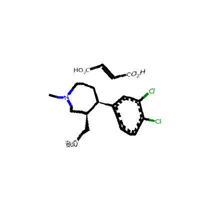 CC(C)COC[C@H]1CN(C)CC[C@H]1c1ccc(Cl)c(Cl)c1.O=C(O)/C=C/C(=O)O